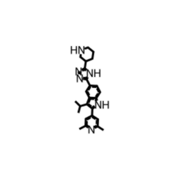 Cc1cc(-c2[nH]c3ccc(-c4nnc(C5CCCNC5)[nH]4)cc3c2C(C)C)cc(C)n1